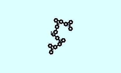 c1ccc(-n2c3ccccc3c3cc(-c4ccc5c6ccccc6n(-c6ccc(-c7ccc8c(-c9ccc(-n%10c%11ccccc%11c%11ccc(-c%12ccc%13c(c%12)c%12ccccc%12n%13-c%12ccccc%12)cc%11%10)cc9)ccnc8c7)cc6)c5c4)ccc32)cc1